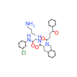 NCCCC[C@H](NC(=O)[C@@H]1Cc2ccccc2CN1C(=O)CCC(=O)c1ccccc1)C(=O)Nc1cccc(Cl)c1